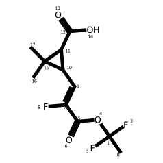 CC(F)(F)OC(=O)C(F)=CC1C(C(=O)O)C1(C)C